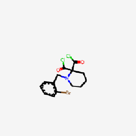 O=C(Cl)C1(C(=O)Cl)CCCCN1Cc1ccccc1Br